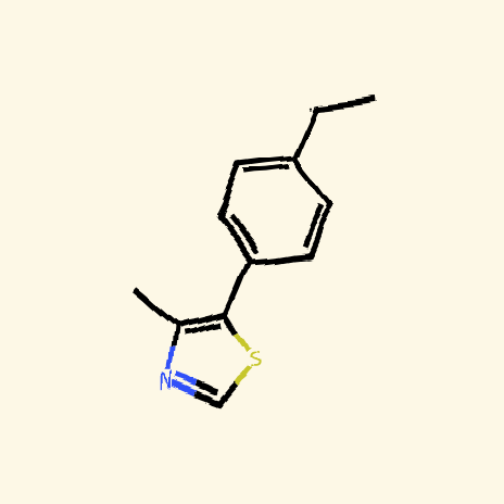 C[CH]c1ccc(-c2scnc2C)cc1